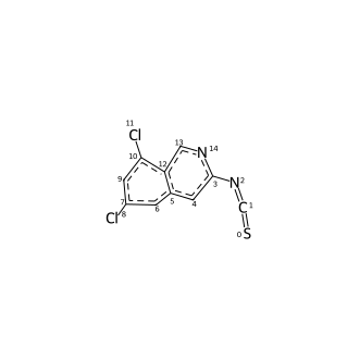 S=C=Nc1cc2cc(Cl)cc(Cl)c2cn1